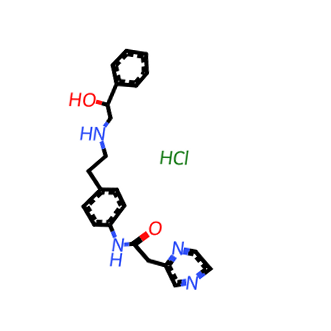 Cl.O=C(Cc1cnccn1)Nc1ccc(CCNCC(O)c2ccccc2)cc1